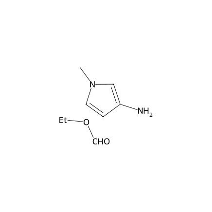 CCOC=O.Cn1ccc(N)c1